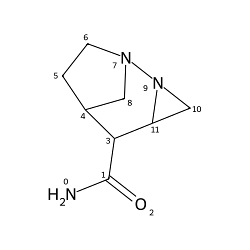 NC(=O)C1C2CCN(C2)N2CC12